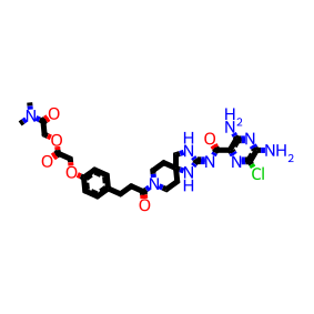 CN(C)C(=O)COC(=O)COc1ccc(CCC(=O)N2CCC3(CC2)CN/C(=N\C(=O)c2nc(Cl)c(N)nc2N)N3)cc1